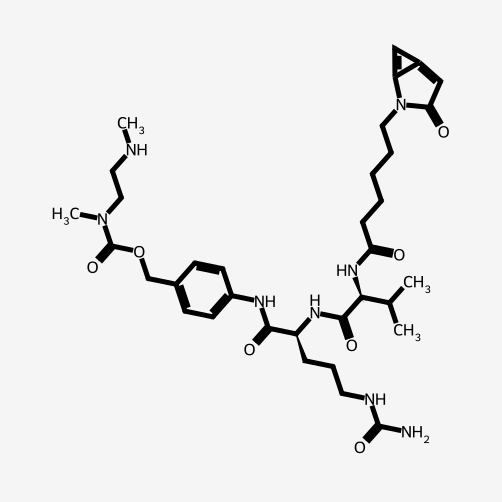 CNCCN(C)C(=O)OCc1ccc(NC(=O)[C@H](CCCNC(N)=O)NC(=O)[C@@H](NC(=O)CCCCCn2c3cc-3cc2=O)C(C)C)cc1